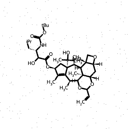 C=CC1O[C@H]2C[C@H]3OC[C@@]3(OC(C)=O)[C@H]3[C@H](C)[C@]4(C(C)(C)O)C[C@H](OC(=O)C(O)[C@H](CC(C)C)NC(=O)OC(C)(C)C)C(C)=C4[C@H](C)[C@H](O1)[C@]23C